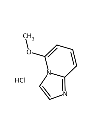 COc1cccc2nccn12.Cl